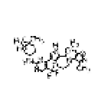 Cc1noc(C)c1N1CCCc2c(-c3nc(N[C@H]4CCC(C)(C)NC4)ncc3C(F)(F)F)c[nH]c2C1=O